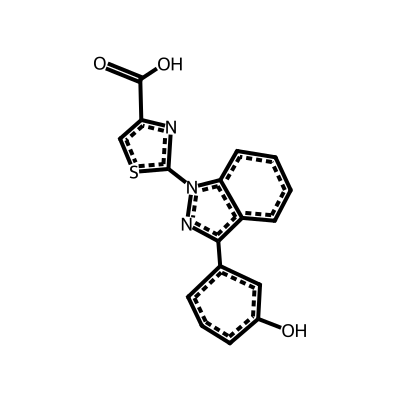 O=C(O)c1csc(-n2nc(-c3cccc(O)c3)c3ccccc32)n1